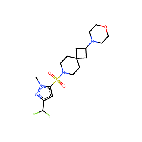 Cn1nc(C(F)F)cc1S(=O)(=O)N1CCC2(CC1)CC(N1CCOCC1)C2